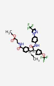 CCC[C@H](c1ccc(C(=O)NCCC(=O)OCC)cc1)[C@@H](C(=O)Nc1ccc(-n2cc(C(F)(F)F)cn2)cc1)c1ccc(OC(F)(F)F)cc1